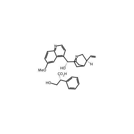 C=C[C@@H]1CN2CCC1CC2[C@H](O)c1ccnc2ccc(OC)cc12.O=C(O)[C@@H](CO)c1ccccc1